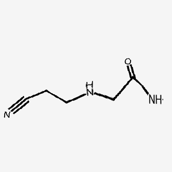 N#CCCNCC([NH])=O